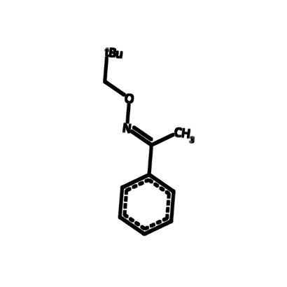 CC(=NOCC(C)(C)C)c1ccccc1